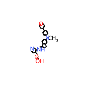 CN(c1ccc(C2=CCOCC2)cc1)c1ccc2c(c1)CC[C@H]2CNc1cnccc1COCO